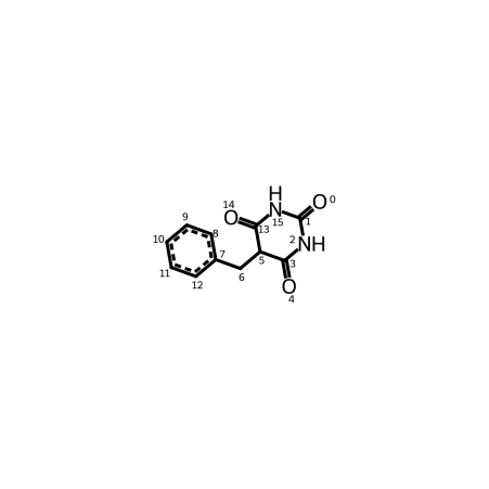 O=C1NC(=O)C(Cc2ccccc2)C(=O)N1